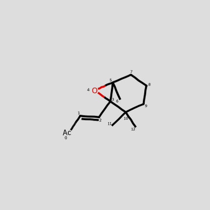 CC(=O)/C=C/C12OC1(C)CCCC2(C)C